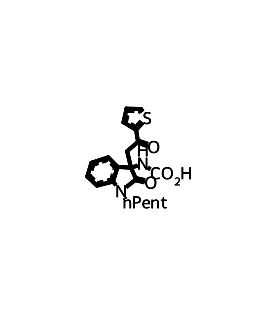 CCCCCN1C(=O)C(CC(=O)c2cccs2)(NC(=O)O)c2ccccc21